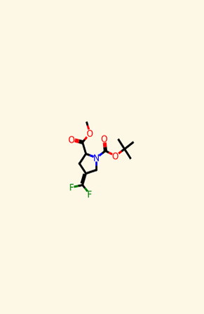 COC(=O)C1CC(=C(F)F)CN1C(=O)OC(C)(C)C